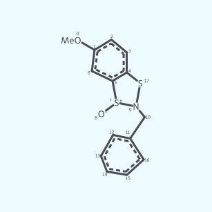 COc1ccc2c(c1)[S+]([O-])N(Cc1ccccc1)S2